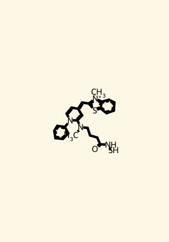 CN(CCCC(=O)NS)C1=C/C(=C\c2sc3ccccc3[n+]2C)C=CN1c1ccccc1